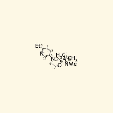 CCc1ccc(N2CCO[C@H](C(C)(C)NC)C2)cn1